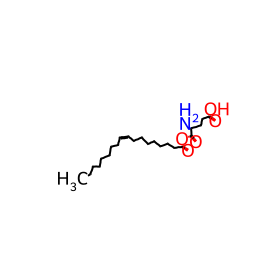 CCCCCCCC/C=C\CCCCCCCC(=O)OC(=O)C(N)CCC(=O)O